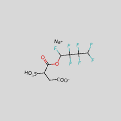 O=C([O-])CC(C(=O)OC(F)C(F)(F)C(F)(F)C(F)F)S(=O)(=O)O.[Na+]